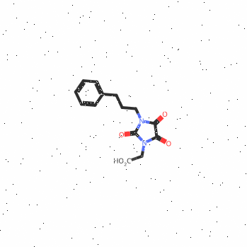 O=C(O)CN1C(=O)C(=O)N(CCCc2ccccc2)C1=O